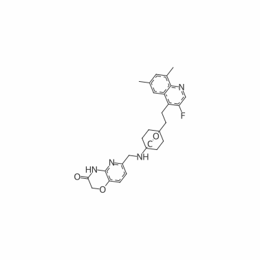 Cc1cc(C)c2ncc(F)c(CCC34CCC(NCc5ccc6c(n5)NC(=O)CO6)(CC3)CO4)c2c1